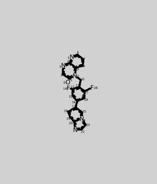 O=c1cnc2ncccc2n1Cc1c(F)cc(-c2ccc3nccn3c2)cc1F